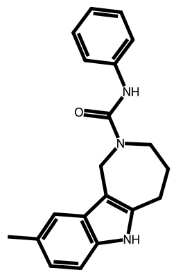 Cc1ccc2[nH]c3c(c2c1)CN(C(=O)Nc1ccccc1)CCC3